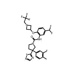 Cc1ccc(C2(c3ncns3)CCN(C(=O)Nc3cc(C(F)F)ccc3OC3CN(CC(F)(F)F)C3)C2)cc1F